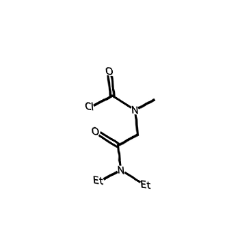 CCN(CC)C(=O)CN(C)C(=O)Cl